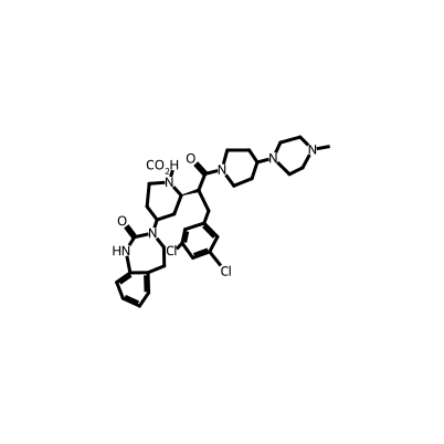 CN1CCN(C2CCN(C(=O)C(Cc3cc(Cl)cc(Cl)c3)[C@H]3CC(N4CCc5ccccc5NC4=O)CCN3C(=O)O)CC2)CC1